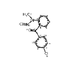 CN(N=O)c1ccccc1C(=O)c1ccc(Cl)cc1